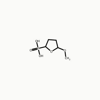 COC1CCC(P(=O)(O)O)O1